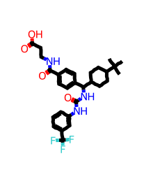 CC(C)(C)C1CCC(C(NC(=O)Nc2cccc(C(F)(F)F)c2)c2ccc(C(=O)NCCC(=O)O)cc2)CC1